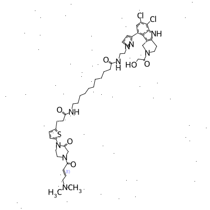 CN(C)C/C=C/C(=O)N1CCN(c2ccc(CCC(=O)NCCCCCCCCCCC(=O)NCCn3ccc(-c4cc(Cl)c(Cl)c5[nH]c6c(c45)CN(C(=O)CO)CC6)n3)s2)C(=O)C1